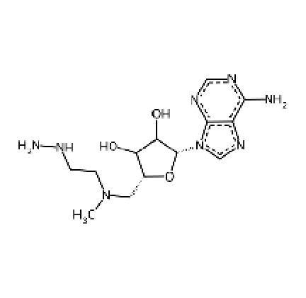 CN(CCNN)C[C@H]1O[C@@H](n2cnc3c(N)ncnc32)C(O)C1O